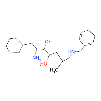 CC(CNCc1ccccc1)CC(O)C(O)C(N)CC1CCCCC1